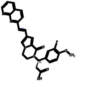 COc1ccc([C@H](CC(=O)O)N2CCn3cc(/C=C/c4ccc5cccnc5n4)cc3C2=O)cc1F